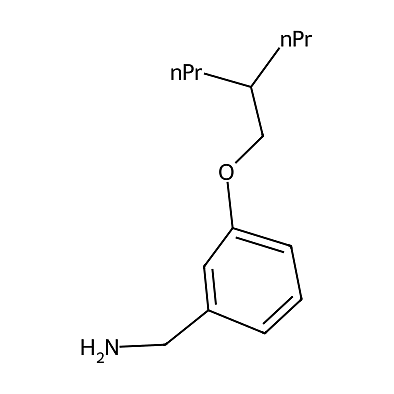 CCCC(CCC)COc1cccc(CN)c1